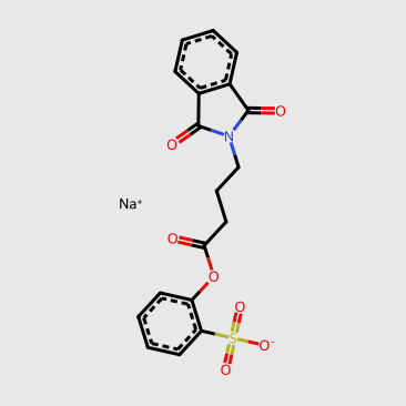 O=C(CCCN1C(=O)c2ccccc2C1=O)Oc1ccccc1S(=O)(=O)[O-].[Na+]